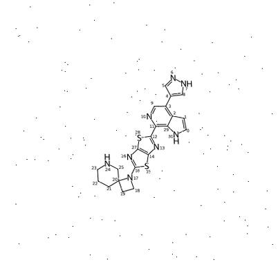 c1cc2c(-c3cn[nH]c3)cnc(-c3nc4sc(N5CCC56CCCNC6)nc4s3)c2[nH]1